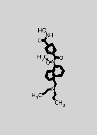 CCCN(CCC)Cc1cccc2c(N(OC)C(=O)c3ccc(C(=O)NO)cc3)cccc12